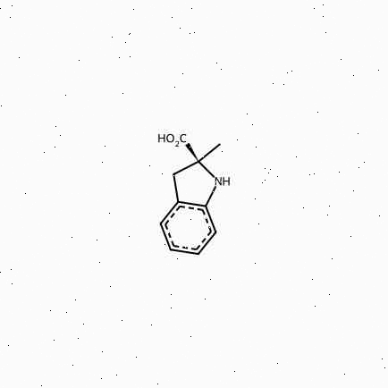 C[C@@]1(C(=O)O)Cc2ccccc2N1